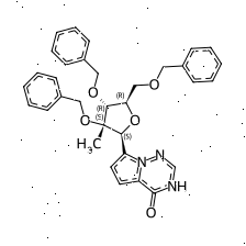 C[C@@]1(OCc2ccccc2)[C@H](OCc2ccccc2)[C@@H](COCc2ccccc2)O[C@H]1c1ccc2c(=O)[nH]cnn12